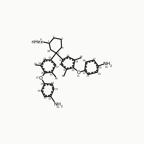 CCCCCCC1CCCC(c2cc(C)c(Oc3ccc(N)cc3)c(C)c2)(c2cc(C)c(Oc3ccc(N)cc3)c(C)c2)C1